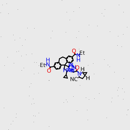 CCNC(=O)c1ccc2c(c1)CCc1cc(C(=O)NCC)ccc1C2(C[C@@H](NCC(=O)N1[C@H](C#N)C[C@@H]2C[C@@H]21)C1CC1)c1nnn[nH]1